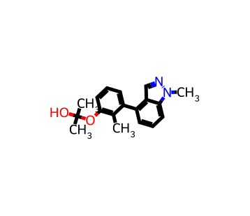 Cc1c(OC(C)(C)O)cccc1-c1cccc2c1cnn2C